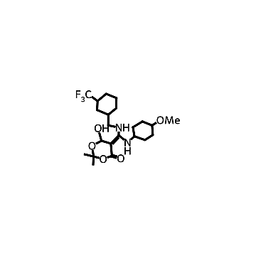 COC1CCC(N/C(NCC2CCCC(C(F)(F)F)C2)=C2\C(=O)OC(C)(C)OC2O)CC1